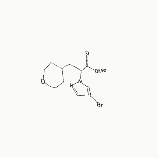 COC(=O)C(CC1CCOCC1)n1cc(Br)cn1